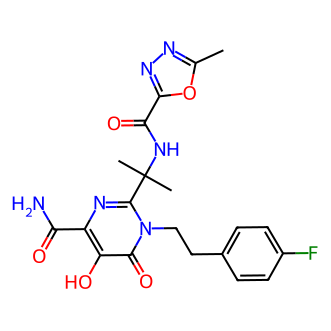 Cc1nnc(C(=O)NC(C)(C)c2nc(C(N)=O)c(O)c(=O)n2CCc2ccc(F)cc2)o1